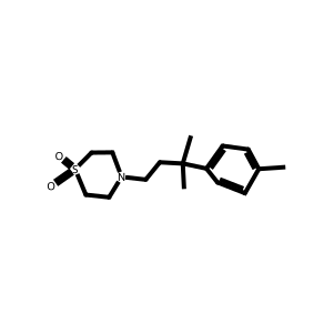 Cc1ccc(C(C)(C)CCN2CCS(=O)(=O)CC2)cc1